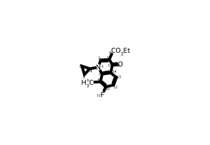 CCOC(=O)c1cn(C2CC2)c2c(C)c(F)ccc2c1=O